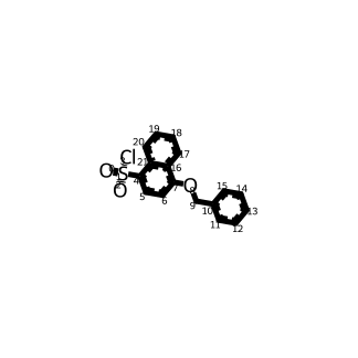 O=S(=O)(Cl)c1ccc(OCc2ccccc2)c2ccccc12